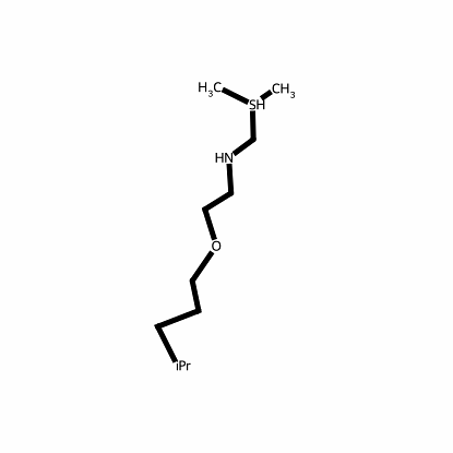 CC(C)CCCOCCNC[SH](C)C